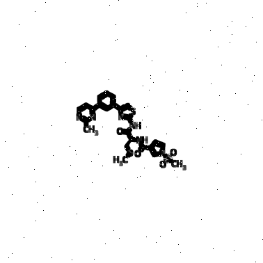 COC[C@H](NC(=O)c1ccn(S(C)(=O)=O)c1)C(=O)Nc1nc(-c2cccc(-c3ccnc(C)n3)c2)cs1